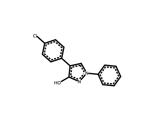 Oc1nn(-c2ccccc2)cc1-c1ccc(Cl)cc1